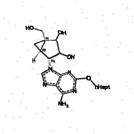 CCCCCCCOc1nc(N)c2ncn([C@H]3C(O)C(O)[C@]4(CO)C[C@H]34)c2n1